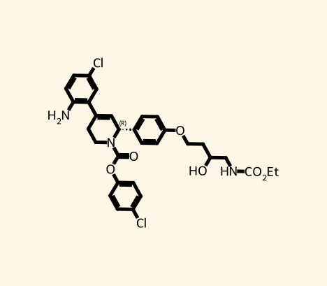 CCOC(=O)NCC(O)CCOc1ccc([C@H]2C=C(c3cc(Cl)ccc3N)CCN2C(=O)Oc2ccc(Cl)cc2)cc1